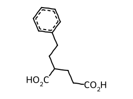 O=C(O)CCC(CCc1ccccc1)C(=O)O